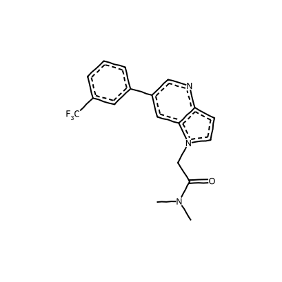 CN(C)C(=O)Cn1ccc2ncc(-c3cccc(C(F)(F)F)c3)cc21